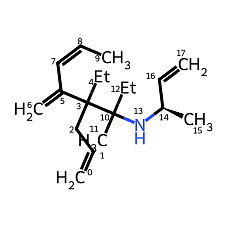 C=CCC(CC)(C(=C)/C=C\C)C(C)(CC)N[C@H](C)C=C